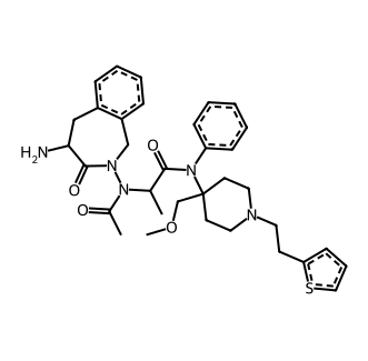 COCC1(N(C(=O)C(C)N(C(C)=O)N2Cc3ccccc3CC(N)C2=O)c2ccccc2)CCN(CCc2cccs2)CC1